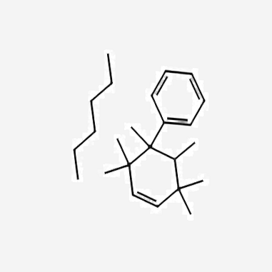 CC1C(C)(C)C=CC(C)(C)C1(C)c1ccccc1.CCCCCC